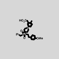 COc1ccc(CCN2C(=O)N(CC(C)C)C(=O)C23CCN(c2ccc(C)c(CC(=O)O)c2)CC3)cc1